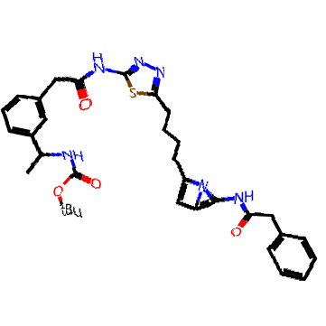 CC(NC(=O)OC(C)(C)C)c1cccc(CC(=O)Nc2nnc(CCCCc3cc4c(NC(=O)Cc5ccccc5)n3-4)s2)c1